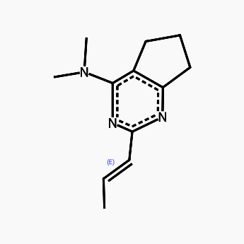 C/C=C/c1nc2c(c(N(C)C)n1)CCC2